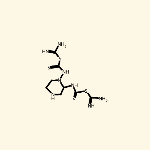 N=C(N)SC(=S)NC1CNCCN1NC(=S)SC(=N)N